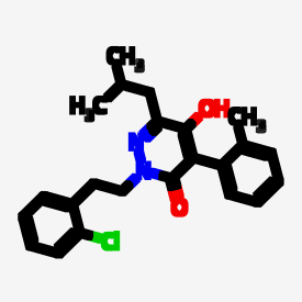 Cc1ccccc1-c1c(O)c(CC(C)C)nn(CCc2ccccc2Cl)c1=O